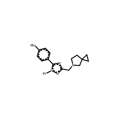 CC(C)n1nc(CN2CCC3(CC3)C2)nc1-c1ccc(C(C)(C)C)cc1